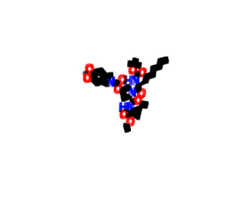 C=CCCCCC[C@H](NC(=O)OC(C)(C)C)C(=O)N1C[C@H](OC(=O)N2Cc3cc4c(cc3C2)OCO4)C[C@H]1C(=O)N[C@]1(C(=O)OCC)C[C@H]1C=C